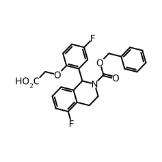 O=C(O)COc1ccc(F)cc1C1c2cccc(F)c2CCN1C(=O)OCc1ccccc1